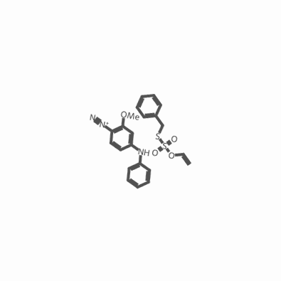 C=COS(=O)(=O)SCc1ccccc1.COc1cc(Nc2ccccc2)ccc1[N+]#N